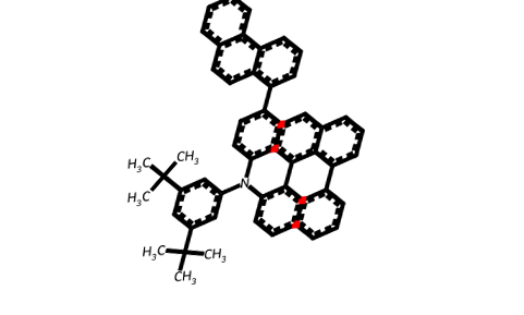 CC(C)(C)c1cc(N(c2ccc(-c3cccc4c3ccc3ccccc34)cc2)c2ccccc2-c2cccc3cccc(-c4ccccc4)c23)cc(C(C)(C)C)c1